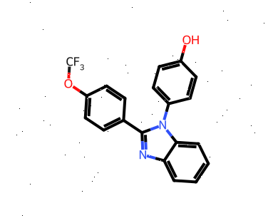 Oc1ccc(-n2c(-c3ccc(OC(F)(F)F)cc3)nc3ccccc32)cc1